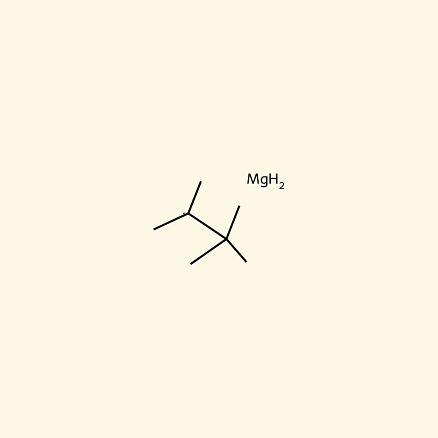 C[C](C)C(C)(C)C.[MgH2]